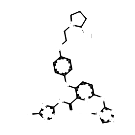 Cc1nsc(NC(=O)c2nc(Sc3nncn3C)ccc2Sc2ccc(OCCN3CCC[C@H]3C)cc2)n1